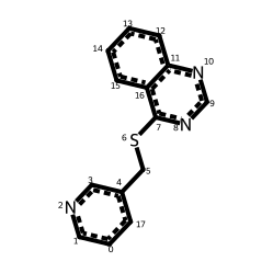 c1cncc(CSc2ncnc3ccccc23)c1